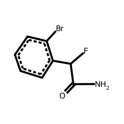 NC(=O)C(F)c1ccccc1Br